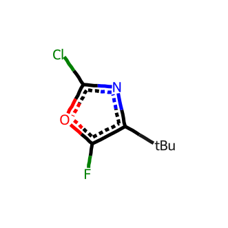 CC(C)(C)c1nc(Cl)oc1F